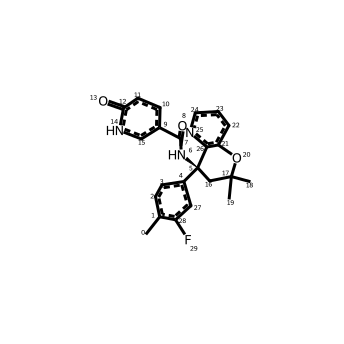 Cc1ccc([C@@]2(NC(=O)c3ccc(=O)[nH]c3)CC(C)(C)Oc3cccnc32)cc1F